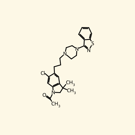 CC(=O)N1CC(C)(C)c2cc(CCCN3CCN(c4nsc5ccccc45)CC3)c(Cl)cc21